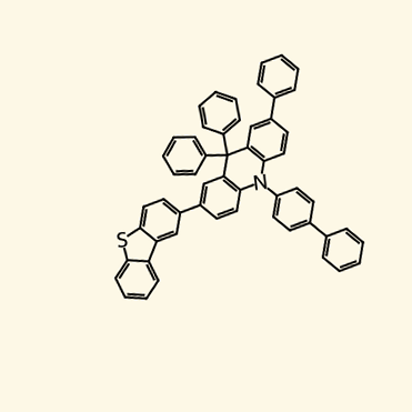 c1ccc(-c2ccc(N3c4ccc(-c5ccccc5)cc4C(c4ccccc4)(c4ccccc4)c4cc(-c5ccc6sc7ccccc7c6c5)ccc43)cc2)cc1